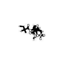 CCC(C)(I)C(=O)Oc1c2c3oc1c(C(=O)OC)c3S(=O)(=O)O2